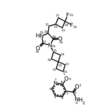 NC(=O)c1cccnc1O[C@H]1CC2(C1)C[C@H](N1C(=O)NC(CC3CC(F)(F)C3)C1=O)C2